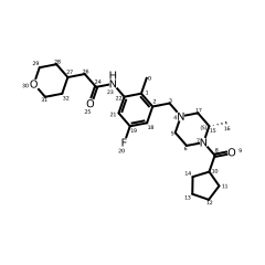 Cc1c(CN2CCN(C(=O)C3CCCC3)[C@@H](C)C2)cc(F)cc1NC(=O)CC1CCOCC1